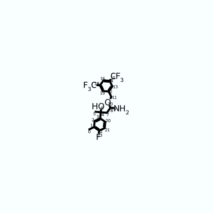 Cc1cc(C(C)(O)CC(N)OCc2cc(C(F)(F)F)cc(C(F)(F)F)c2)ccc1F